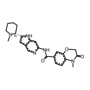 CN1C(=O)COc2cc(C(=O)Nc3cc4[nH]c([C@H]5CCCCN5C)cc4cn3)ccc21